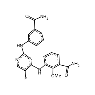 COc1c(Nc2nc(Nc3cccc(C(N)=O)c3)ncc2F)cccc1C(N)=O